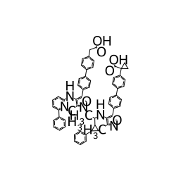 Cc1noc(-c2ccc(-c3ccc(C4(C(=O)O)CC4)cc3)cc2)c1NC(C)C1CC1c1ccccc1.Cc1noc(-c2ccc(-c3ccc(CC(=O)O)cc3)cc2)c1Nc1cccc(-c2ccccc2)n1